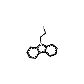 FCCn1c2ccccc2c2ccccc21